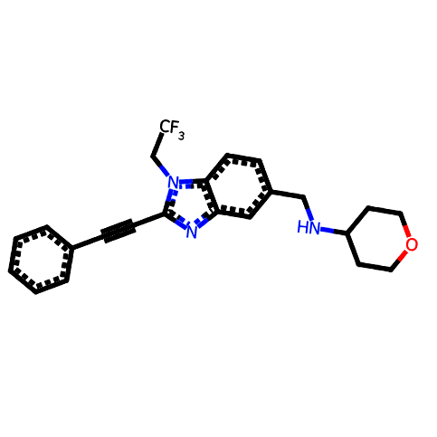 FC(F)(F)Cn1c(C#Cc2ccccc2)nc2cc(CNC3CCOCC3)ccc21